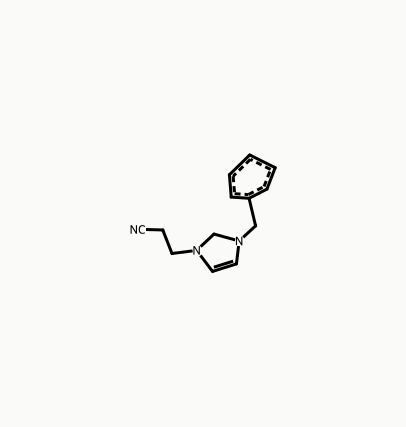 N#CCCN1C=CN(Cc2ccccc2)C1